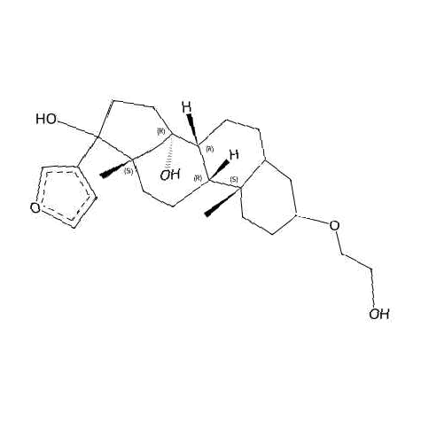 C[C@]12CCC(OCCO)CC1CC[C@@H]1[C@H]2CC[C@]2(C)C(O)(c3ccoc3)CC[C@@]12O